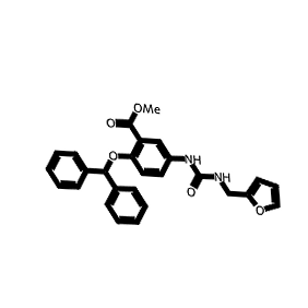 COC(=O)c1cc(NC(=O)NCc2ccco2)ccc1OC(c1ccccc1)c1ccccc1